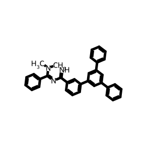 CN(C)/C(=N\C(=N)c1cccc(-c2cc(-c3ccccc3)cc(-c3ccccc3)c2)c1)c1ccccc1